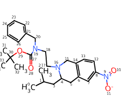 CC(C)CC1Cc2cc([N+](=O)[O-])ccc2CN1CCN(Cc1ccccc1)C(=O)OC(C)(C)C